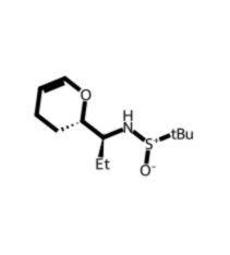 CC[C@H](N[S+]([O-])C(C)(C)C)[C@@H]1CCC=CO1